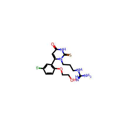 N=C(N)NCCCn1c(-c2cc(F)ccc2OCCO)cc(=O)[nH]c1=S